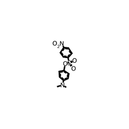 CN(C)c1ccc(OS(=O)(=O)c2ccc([N+](=O)[O-])cc2)cc1